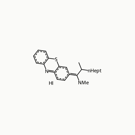 CCCCCCCC(C)C(NC)=c1ccc2c(c1)Sc1ccccc1N=2.I